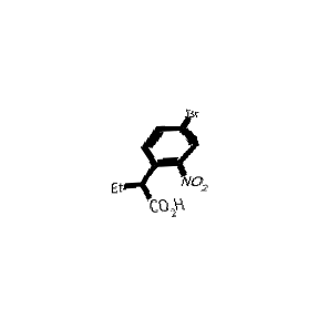 CCC(C(=O)O)c1ccc(Br)cc1[N+](=O)[O-]